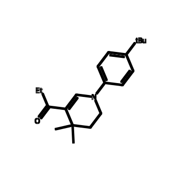 CCC(=O)C1=CN(c2ccc(C(C)(C)C)cc2)CCC1(C)C